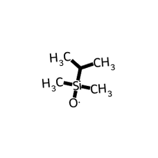 CC(C)[Si](C)(C)[O]